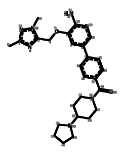 Cc1nc(COc2cc(-c3ccc(C(=O)N4CCC(N5CCCC5)CC4)cc3)cnc2N)n(C)n1